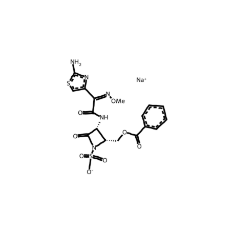 CON=C(C(=O)N[C@H]1C(=O)N(S(=O)(=O)[O-])[C@H]1COC(=O)c1ccccc1)c1csc(N)n1.[Na+]